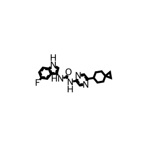 O=C(Nc1cnc(C2CCC3(CC2)CC3)cn1)Nc1c[nH]c2ccc(F)cc12